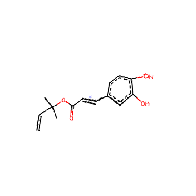 C=CC(C)(C)OC(=O)/C=C/c1ccc(O)c(O)c1